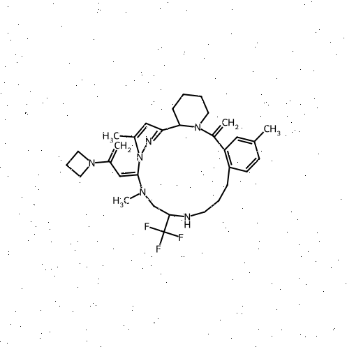 C=C(/C=C1/N(C)CC(C(F)(F)F)NCCCc2ccc(C)cc2C(=C)N2CCCCC2c2cc(C)n1n2)N1CCC1